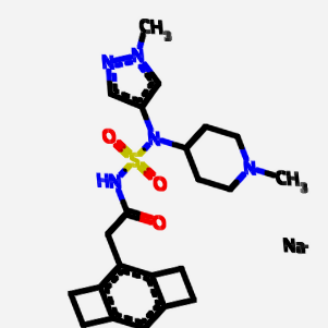 CN1CCC(N(c2cnn(C)c2)S(=O)(=O)NC(=O)Cc2c3c(cc4c2CC4)CC3)CC1.[Na]